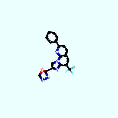 FC(F)(F)c1cc2ccc(-c3ccccc3)nc2n2cc(-c3nnco3)nc12